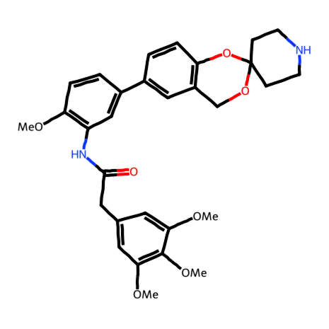 COc1ccc(-c2ccc3c(c2)COC2(CCNCC2)O3)cc1NC(=O)Cc1cc(OC)c(OC)c(OC)c1